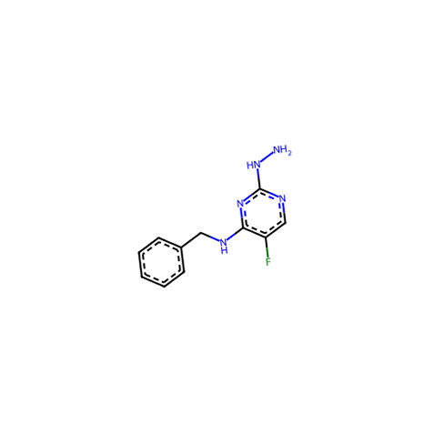 NNc1ncc(F)c(NCc2ccccc2)n1